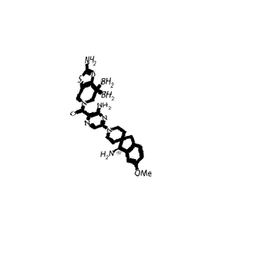 BC1(B)CN(C(=O)c2ncc(N3CCC4(CC3)Cc3ccc(OC)cc3[C@H]4N)nc2N)Cc2sc(N)nc21